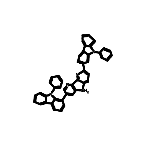 c1ccc(-n2c3ccccc3c3ccc(-c4ccc5c(n4)-c4ncc(-c6cccc7c8ccccc8n(-c8ccccc8)c67)cc4[SiH2]5)cc32)cc1